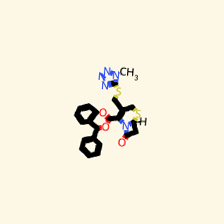 Cn1nnnc1SCC1=C(C(=O)OC(c2ccccc2)c2ccccc2)N2C(=O)C[C@@H]2SC1